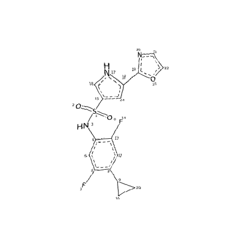 O=S(=O)(Nc1cc(F)c(C2CC2)cc1F)c1c[nH]c(-c2ncco2)c1